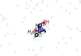 COC(=O)C1=C(CN2[C@H]3CC(CC(=O)O)C[C@@H]2C(F)(F)C3)NC(c2nccs2)=N[C@H]1c1ccc(F)cc1Cl